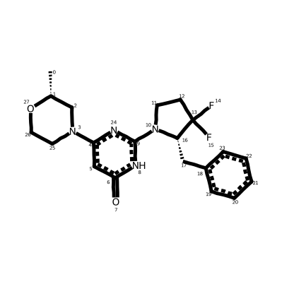 C[C@@H]1CN(c2cc(=O)[nH]c(N3CCC(F)(F)[C@@H]3Cc3ccccc3)n2)CCO1